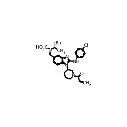 C=CC(=O)N1CCCC(n2c(Nc3ccc(Cl)cc3)nc3cc(CN(C(=O)O)[C@@H](C)C(C)(C)C)ccc32)C1